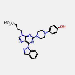 O=C(O)CCCn1cnc2c(-n3ncc4ccccc43)nc(N3CCN(c4ccc(O)cc4)CC3)nc21